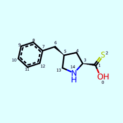 OC(=S)[C@@H]1C[C@H](Cc2ccccc2)CN1